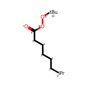 CC(C)CCCCCC(=O)OOC(C)(C)C